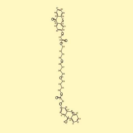 O=C(COc1ccc2c(=O)c3ccccc3sc2c1)OCCCCOCCCCOCCCCOC(=O)COc1ccc2c(=O)c3ccccc3sc2c1